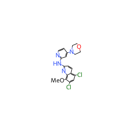 COc1c(Cl)cc(Cl)c2ccc(Nc3cc(N4CCOCC4)ccn3)nc12